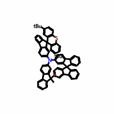 CC(C)(C)c1ccc2c(c1)C1(c3cc(C(C)(C)C)ccc3S2)c2ccccc2-c2ccc(N(c3ccc4c(c3)C(C)(C)c3ccccc3-4)c3ccc4c(c3)C3(c5ccccc5-c5ccccc53)c3ccccc3-4)cc21